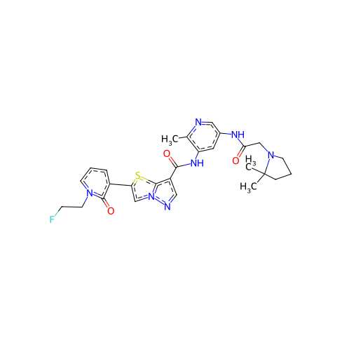 Cc1ncc(NC(=O)CN2CCCC2(C)C)cc1NC(=O)c1cnn2cc(-c3cccn(CCF)c3=O)sc12